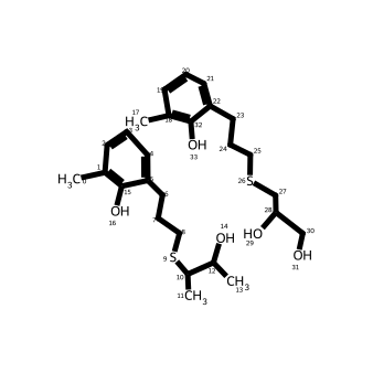 Cc1cccc(CCCSC(C)C(C)O)c1O.Cc1cccc(CCCSCC(O)CO)c1O